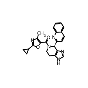 Cc1nc(C2CC2)oc1C(=O)N1CCc2[nH]cnc2[C@@H]1c1ccc2ccccc2n1